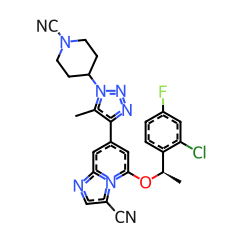 Cc1c(-c2cc(O[C@H](C)c3ccc(F)cc3Cl)n3c(C#N)cnc3c2)nnn1C1CCN(C#N)CC1